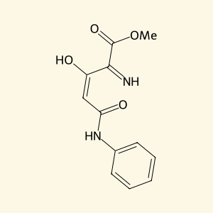 COC(=O)C(=N)/C(O)=C\C(=O)Nc1ccccc1